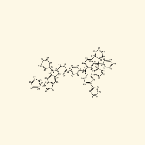 c1ccc(-c2ccc(N(c3ccc(-c4ccc5c(c4)c4cc6ccn(-c7ccccc7)c6cc4n5-c4ccccc4)cc3)c3ccc4c(c3)C(c3ccccc3)(c3ccccc3)c3ccccc3-4)cc2)cc1